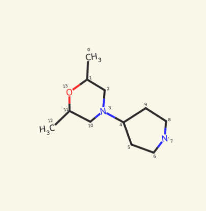 CC1CN(C2CC[N]CC2)CC(C)O1